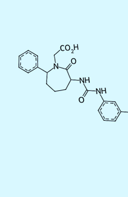 Cc1cccc(NC(=O)NC2CCCC(c3ccccc3)N(CC(=O)O)C2=O)c1